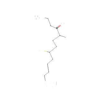 CSCCC(=O)C(C)CCC(S)CCCCC(=O)O